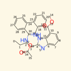 CCCCc1nc2cccc(C(=O)OC)c2n1Cc1ccccc1-c1ccccc1C(=N)NOC(C)=O